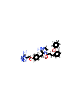 O=C(CCc1ccccc1Oc1ccccc1)N1CCNCC1Cc1ccc(OCc2nnn[nH]2)cc1